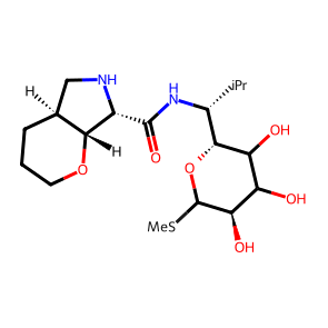 CSC1O[C@H]([C@H](NC(=O)[C@H]2NC[C@@H]3CCCO[C@H]32)C(C)C)C(O)C(O)[C@H]1O